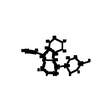 CN1CCN(n2ncnc3c(C#N)c4c(c2-3)CCCC4)CC1